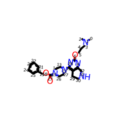 CN(C)CCCOc1nc2c(c(N3CCN(C(=O)OCc4ccccc4)CC3)n1)CCNC2